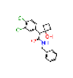 O=C(NCc1ccccc1)C(c1ccc(Cl)c(Cl)c1)C1(O)CCC1